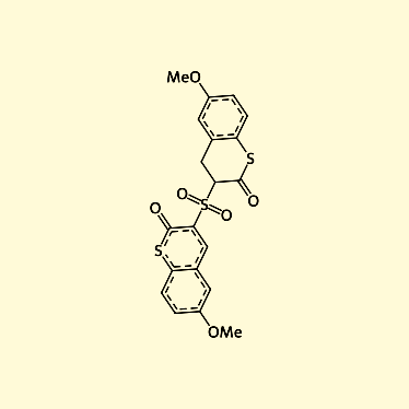 COc1ccc2c(c1)CC(S(=O)(=O)c1cc3cc(OC)ccc3sc1=O)C(=O)S2